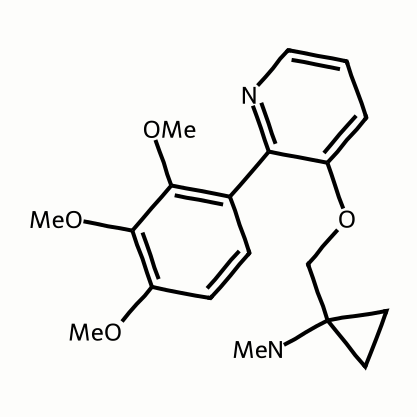 CNC1(COc2cccnc2-c2ccc(OC)c(OC)c2OC)CC1